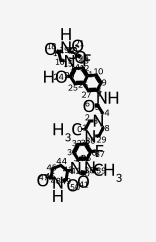 C[C@H]1CN(CC(=O)Nc2ccc3c(F)c(N4CC(=O)NS4(=O)=O)c(O)cc3c2)CCN1c1ccc2c(c1F)n(C)c(=O)n2C1CCC(=O)NC1=O